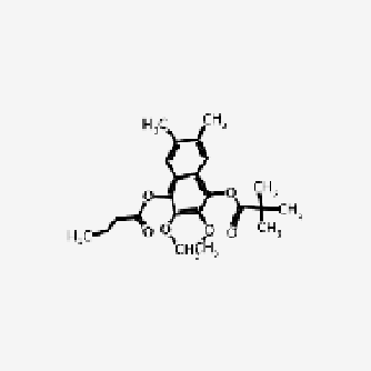 CCCC(=O)Oc1c(OC)c(OC)c(OC(=O)C(C)(C)C)c2cc(C)c(C)cc12